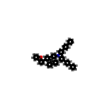 c1ccc(-c2ccc(-c3ccc4c(c3)c3cc(-c5ccc(-c6ccccc6)cc5)ccc3n4-c3ccc4c(c3)[Si](c3ccccc3)(c3ccccc3)c3cc(-c5cccc6c5oc5ccccc56)ccc3-4)cc2)cc1